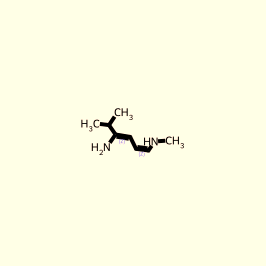 CN/C=C\C=C(/N)C(C)C